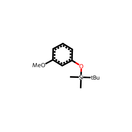 COc1cccc(O[Si](C)(C)C(C)(C)C)c1